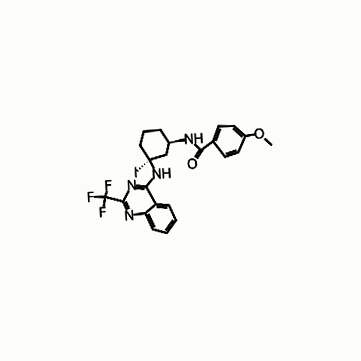 COc1ccc(C(=O)N[C@@H]2CCC[C@](I)(Nc3nc(C(F)(F)F)nc4ccccc34)C2)cc1